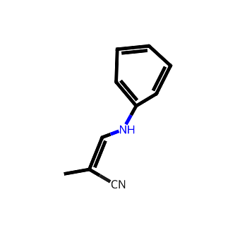 C/C(C#N)=C/Nc1ccccc1